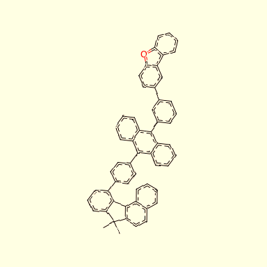 CC1(C)c2cccc(-c3ccc(-c4c5ccccc5c(-c5cccc(-c6ccc7oc8ccccc8c7c6)c5)c5ccccc45)cc3)c2-c2c1ccc1ccccc21